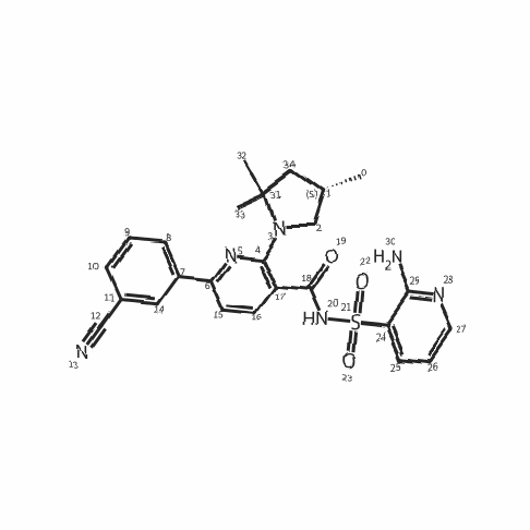 C[C@@H]1CN(c2nc(-c3cccc(C#N)c3)ccc2C(=O)NS(=O)(=O)c2cccnc2N)C(C)(C)C1